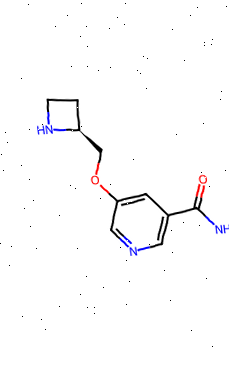 NC(=O)c1cncc(OC[C@@H]2CCN2)c1